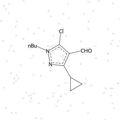 CCCCn1nc(C2CC2)c(C=O)c1Cl